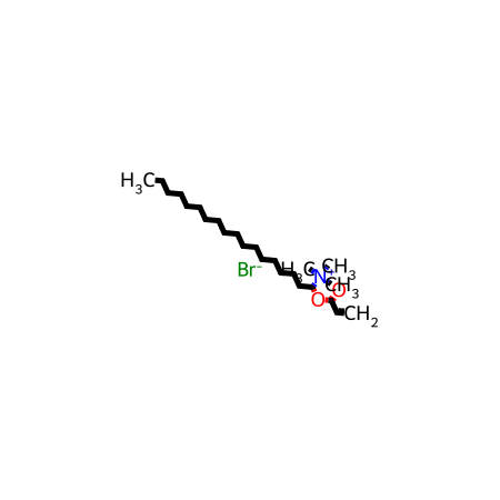 C=CC(=O)OC(CCCCCCCCCCCCCCCCC)[N+](C)(C)C.[Br-]